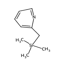 C[Si](C)(C)Cc1ccccn1